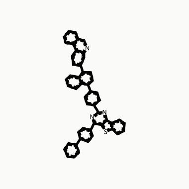 c1ccc(-c2ccc(-c3nc(-c4ccc(-c5ccc(-c6ccc7c(c6)ncc6ccccc67)c6ccccc56)cc4)nc4c3sc3ccccc34)cc2)cc1